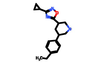 CCc1ccc(C2C[N]CC(c3nc(C4CC4)no3)C2)cc1